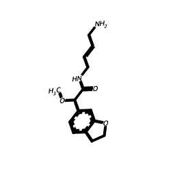 COC(C(=O)NC/C=C/CN)c1ccc2c(c1)OCC2